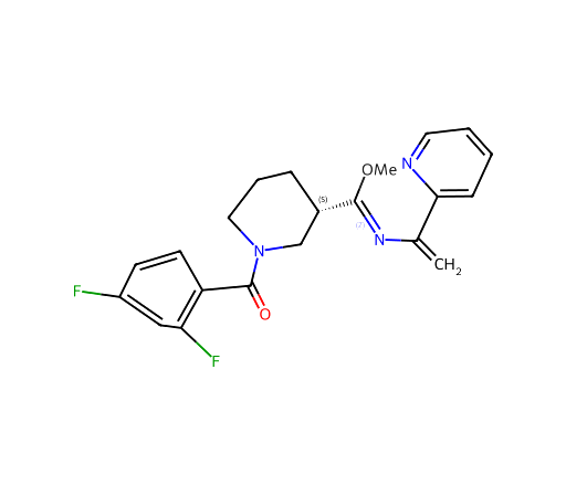 C=C(/N=C(\OC)[C@H]1CCCN(C(=O)c2ccc(F)cc2F)C1)c1ccccn1